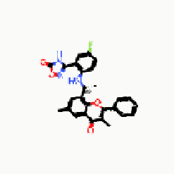 Cc1cc([C@@H](C)Nc2ccc(F)cc2-c2noc(=O)[nH]2)c2oc(-c3ccccc3)c(C)c(=O)c2c1